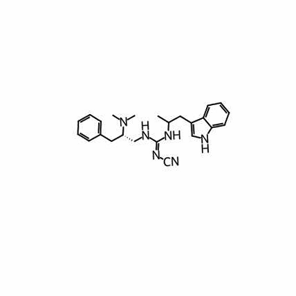 CC(Cc1c[nH]c2ccccc12)N/C(=N\C#N)NC[C@H](Cc1ccccc1)N(C)C